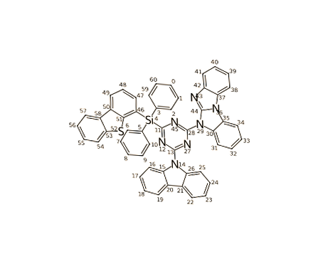 c1ccc([Si](c2ccccc2)(c2nc(-n3c4ccccc4c4ccccc43)nc(-n3c4ccccc4n4c5ccccc5nc34)n2)c2cccc3c2sc2ccccc23)cc1